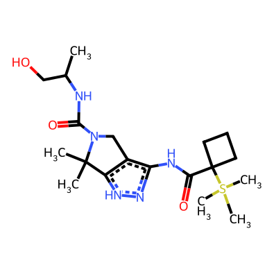 CC(CO)NC(=O)N1Cc2c(NC(=O)C3(S(C)(C)C)CCC3)n[nH]c2C1(C)C